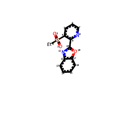 CCS(=O)(=O)c1cccnc1-c1nc2c[c]ccc2o1